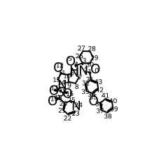 O=C(NC1(C(=O)N2CCC3C2C(=O)CN3S(=O)(=O)C(=O)c2cccnc2)CCCCC1)c1ccc(Oc2ccccc2)cc1